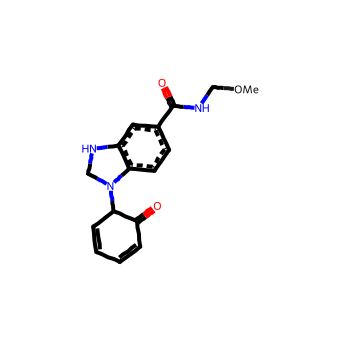 COCNC(=O)c1ccc2c(c1)NCN2C1C=CC=CC1=O